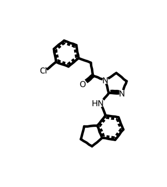 O=C(Cc1cccc(Cl)c1)N1CCN=C1Nc1cccc2c1CCC2